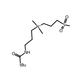 CC(C)(C)C(=O)NCCC[N+](C)(C)CCCS(C)(=O)=O